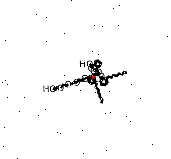 CCCCCCCCc1ccccc1OC(COCCOCCOCCOCCOCCO)(OC(=O)c1ccccc1C(=O)O)Oc1ccccc1CCCCCCCC